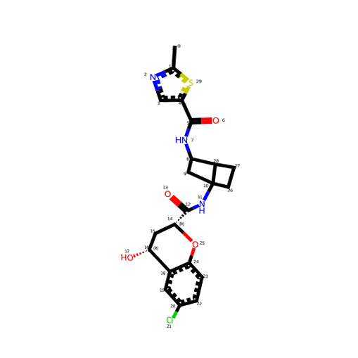 Cc1ncc(C(=O)NC2CC3(NC(=O)[C@H]4C[C@@H](O)c5cc(Cl)ccc5O4)CCC23)s1